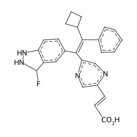 O=C(O)/C=C/c1cnc(/C(=C(\c2ccccc2)C2CCC2)c2ccc3c(c2)C(F)NN3)cn1